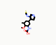 COC1C(C)CC(c2ccncc2N=C=S)CC1NC(=O)O